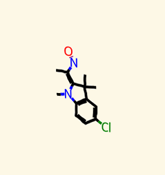 CC(N=O)=C1N(C)c2ccc(Cl)cc2C1(C)C